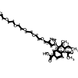 C#CCOCCOCCOCCOCCOCc1cn([C@@H]2c3cc(C(=O)O)ccc3N(C(C)=O)C(CC)C2C)nn1